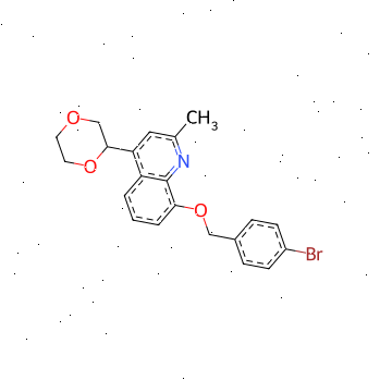 Cc1cc(C2COCCO2)c2cccc(OCc3ccc(Br)cc3)c2n1